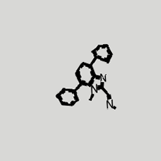 C/N=C/c1nc2c(-c3ccccc3)ccc(-c3ccccc3)c2n1C